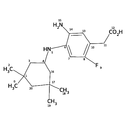 CC1(C)CC(Nc2cc(F)c(CC(=O)O)cc2N)CC(C)(C)C1